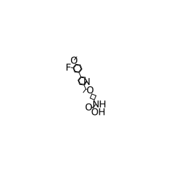 COc1ccc(-c2ccc(C(C)OC3CC(NC(=O)O)C3)nc2)cc1F